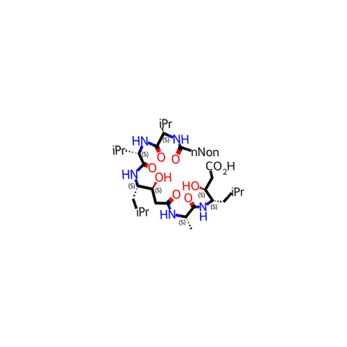 CCCCCCCCCC(=O)N[C@H](C(=O)N[C@H](C(=O)N[C@@H](CC(C)C)[C@@H](O)CC(=O)N[C@@H](C)C(=O)N[C@@H](CC(C)C)[C@@H](O)CC(=O)O)C(C)C)C(C)C